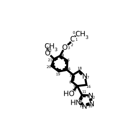 CCCOc1cc(C2=CC(O)(c3nnn[nH]3)CN=C2)ccc1OC